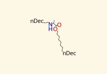 CCCCCCCCCCCCCCCCCCOC(=O)C(C)NCCCCCCCCCCCC